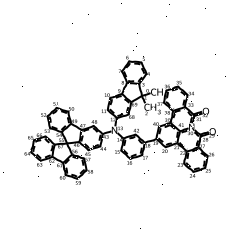 CC1(C)c2ccccc2-c2ccc(N(c3cccc(-c4cc5c6ccccc6c(=O)n6c(=O)c7ccccc7c(c4)c56)c3)c3ccc4c(c3)-c3ccccc3C43c4ccccc4-c4ccccc43)cc21